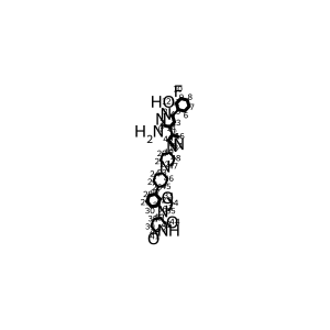 Nc1nnc(-c2cccc(F)c2O)cc1-c1cnn(C2CCN(C3CCC(c4cccc5c4OCCN5[C@H]4CCC(=O)NC4=O)CC3)CC2)c1